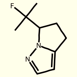 CC(C)(F)C1CCc2ccnn21